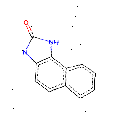 O=C1[N]c2ccc3ccccc3c2N1